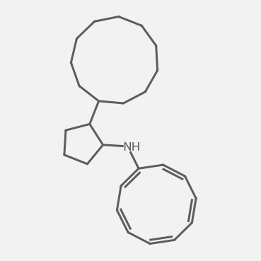 c1ccccc(NC2CCCC2C2CCCCCCCCCC2)cccc1